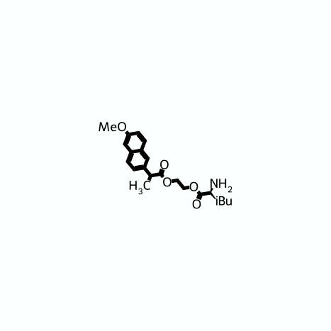 CC[C@H](C)[C@H](N)C(=O)OCCOC(=O)C(C)c1ccc2cc(OC)ccc2c1